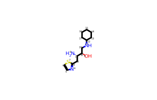 N[C@@H](Cc1nccs1)[C@H](O)CNC1CCCCC1